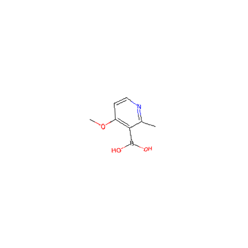 COc1ccnc(C)c1B(O)O